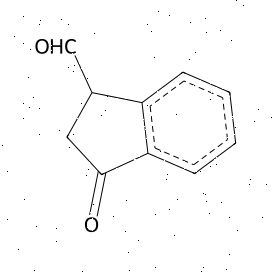 O=CC1CC(=O)c2ccccc21